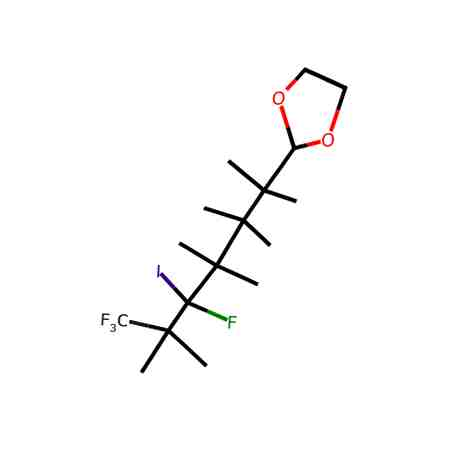 CC(C)(C1OCCO1)C(C)(C)C(C)(C)C(F)(I)C(C)(C)C(F)(F)F